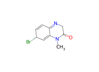 CN1C(=O)CN=C2C=CC(Br)C=C21